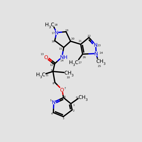 Cc1cccnc1OCC(C)(C)C(=O)NC1CN(C)CC1c1cnn(C)c1C